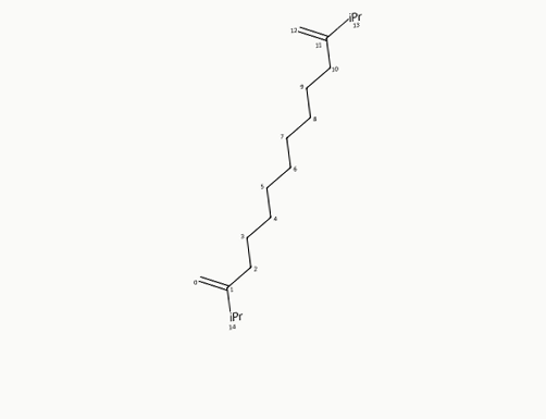 C=C(CCCCCCCCCC(=C)C(C)C)C(C)C